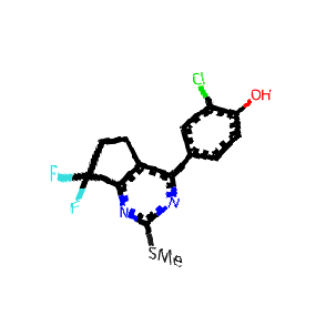 CSc1nc(-c2ccc(O)c(Cl)c2)c2c(n1)C(F)(F)CC2